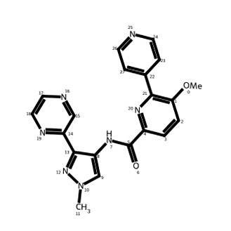 COc1ccc(C(=O)Nc2cn(C)nc2-c2cnccn2)nc1-c1ccncc1